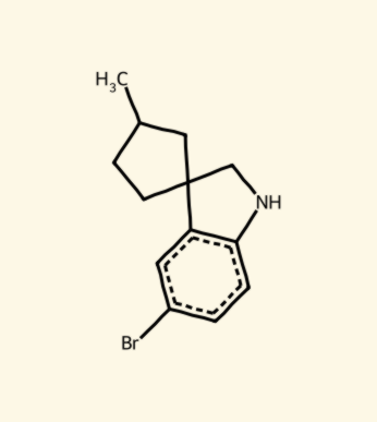 CC1CCC2(CNc3ccc(Br)cc32)C1